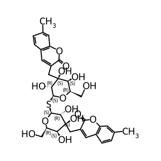 Cc1ccc2cc(C[C@]3(O)[C@@H](O)[C@@H](CO)O[C@@H](S[C@@H]4O[C@H](CO)[C@H](O)[C@@](O)(Cc5cc6ccc(C)cc6oc5=O)[C@H]4O)[C@@H]3O)c(=O)oc2c1